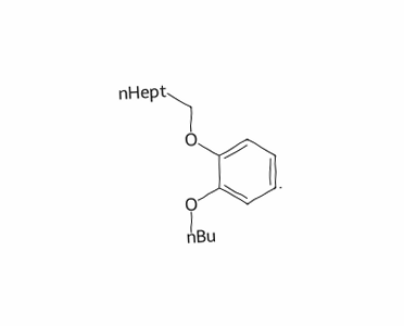 CCCCCCCCOc1cc[c]cc1OCCCC